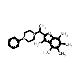 Cc1c(C)c(C)c2c(C)c(C(C)N3CCN(c4ccccc4)CC3)oc2c1N